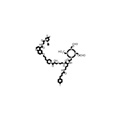 C#C[C@H]1CC(F)(F)CN1C(=O)CNC(=O)c1ccnc2ccc(OCCCC3CCN(C(=O)[C@H](O)CSCCNC(=O)C(CCCNC(=O)CCCc4ccc(I)cc4)NC(=O)CN4CCN(COC=O)CCN(COC=O)CCN(CC(=O)O)CC4)CC3)cc12